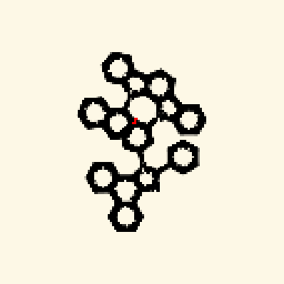 c1ccc(-c2nc3c4ccccc4c4ccccc4c3n2-c2cccc(-n3c4ccccc4c4ccc5c6ccccc6n(-c6cccc7ccccc67)c5c43)c2)cc1